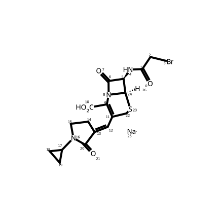 O=C(CBr)N[C@@H]1C(=O)N2C(C(=O)O)=C(C=C3CCN(C4CC4)C3=O)CS[C@H]12.[Na]